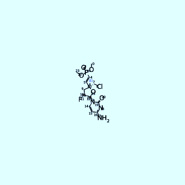 COP(=O)(/C=C/[C@]1(CCl)C[C@@H](F)[C@H](n2ccc(N)nc2=O)O1)OC